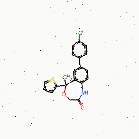 CC1(c2cccs2)OCC(=O)Nc2ccc(-c3ccc(Cl)cc3)cc21